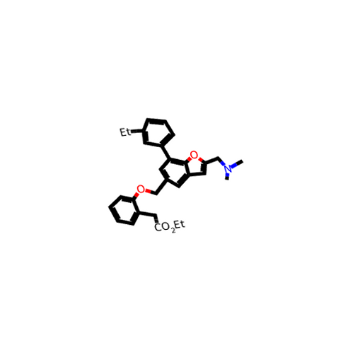 CCOC(=O)Cc1ccccc1OCc1cc(-c2cccc(CC)c2)c2oc(CN(C)C)cc2c1